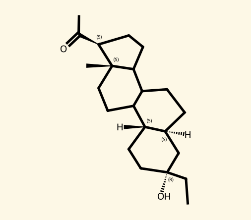 CC[C@@]1(O)CC[C@@H]2C3CC[C@@]4(C)C(CC[C@@H]4C(C)=O)C3CC[C@H]2C1